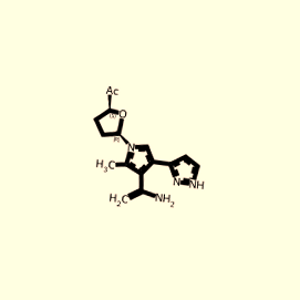 C=C(N)c1c(-c2cc[nH]n2)cn([C@H]2CC[C@@H](C(C)=O)O2)c1C